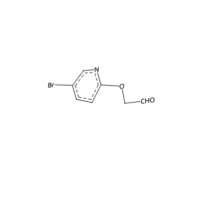 O=CCOc1ccc(Br)cn1